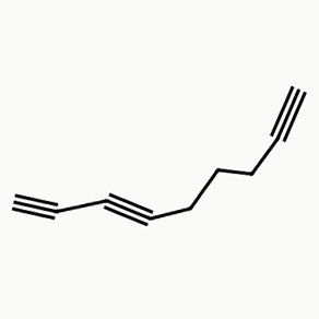 C#CC#CCCCC#C